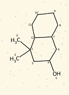 CC1(C)CC(O)CC2CCCCC21